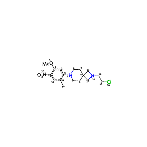 COc1cc(N2CCC3(CC2)CN(CCCl)C3)c(C)cc1[N+](=O)[O-]